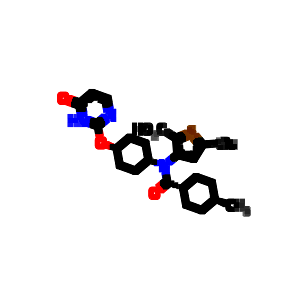 CC(C)(C)c1cc(N(C(=O)[C@H]2CC[C@H](C)CC2)[C@H]2CC[C@H](Oc3nccc(=O)[nH]3)CC2)c(C(=O)O)s1